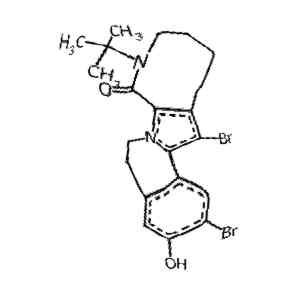 CC(C)(C)N1CCCCc2c(Br)c3n(c2C1=O)CCc1cc(O)c(Br)cc1-3